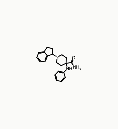 NC(=O)C1(Nc2ccccc2)CCN(C2CCc3ccccc32)CC1